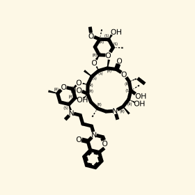 CC[C@H]1OC(=O)[C@H](C)[C@@H](O[C@H]2C[C@@](C)(OC)[C@@H](O)[C@H](C)O2)[C@H](C)[C@@H](O[C@@H]2O[C@H](C)C[C@H](N(C)CCCN(C=O)C(=O)c3ccccc3C)[C@H]2O)[C@](C)(O)C[C@@H](C)CN(C)[C@H](C)[C@@H](O)[C@]1(C)O